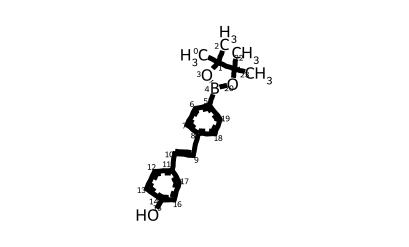 CC1(C)OB(c2ccc(/C=C/c3ccc(O)cc3)cc2)OC1(C)C